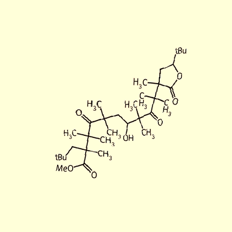 COC(=O)C(C)(CC(C)(C)C)C(C)(C)C(=O)C(C)(C)CC(O)C(C)(C)C(=O)C(C)(C)C1(C)CC(C(C)(C)C)OC1=O